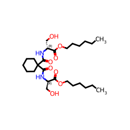 CCCCCCOC(=O)[C@@H](CO)NC(=O)C1(C(=O)N[C@H](CO)C(=O)OCCCCCC)CCCCC1